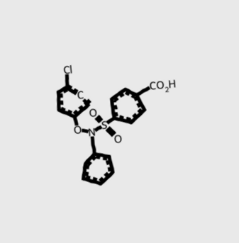 O=C(O)c1ccc(S(=O)(=O)N(Oc2ccc(Cl)cc2)c2ccccc2)cc1